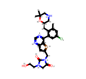 Cc1cc(Cl)cc(-c2ncnc3cc(CN4C(=O)CN(CCO)C4=O)sc23)c1C[C@@H]1CNCC(C)(C)O1